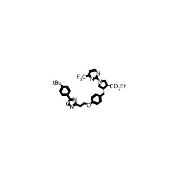 CCOC(=O)[C@H]1CN(c2nccc(C(F)(F)F)n2)C[C@H]1Cc1ccc(OCCc2noc(-c3ccc(C(C)(C)C)cc3)n2)cc1